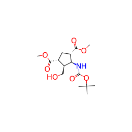 COC(=O)[C@H]1C[C@@H](C(=O)OC)[C@H](CO)[C@@H]1NC(=O)OC(C)(C)C